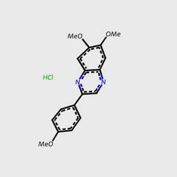 COc1ccc(-c2cnc3cc(OC)c(OC)cc3n2)cc1.Cl